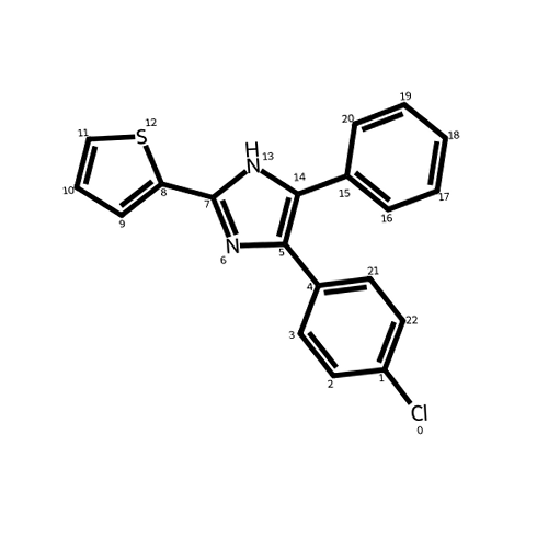 Clc1ccc(-c2nc(-c3cccs3)[nH]c2-c2ccccc2)cc1